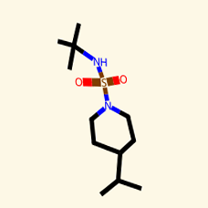 CC(C)C1CCN(S(=O)(=O)NC(C)(C)C)CC1